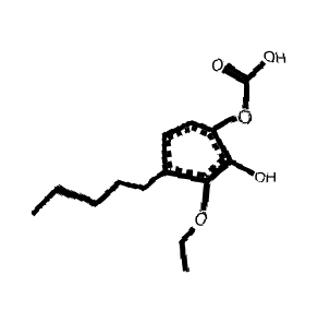 CCCCCc1ccc(OC(=O)O)c(O)c1OCC